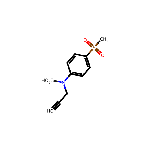 C#CCN(C(=O)O)c1ccc(S(C)(=O)=O)cc1